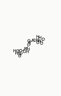 O=C(Nc1ccccc1-c1ccccc1)NC1CCN(CCC(=O)N2CCC(CCNC[C@H](O)c3ccc(O)c4[nH]c(=O)ccc34)CC2)CC1